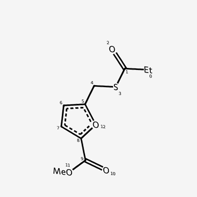 CCC(=O)SCc1ccc(C(=O)OC)o1